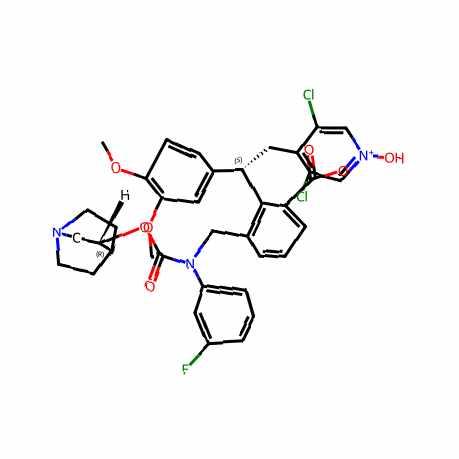 COc1ccc([C@H](Cc2c(Cl)c[n+](O)cc2Cl)c2c(CN(C(=O)O[C@H]3CN4CCC3CC4)c3cccc(F)c3)cccc2C(=O)[O-])cc1OC